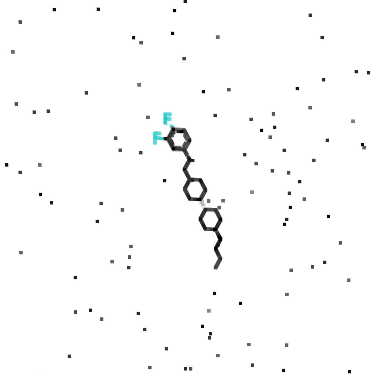 CCCC[C@H]1CC[C@H](C2CCC(CCc3ccc(F)c(F)c3)CC2)CC1